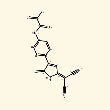 C=C(C)C(=O)Nc1ccc(-c2cc(=C(C#N)C#N)[nH]c2=C)cc1